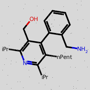 CCCCCc1c(C(C)C)nc(C(C)C)c(CO)c1-c1ccccc1CN